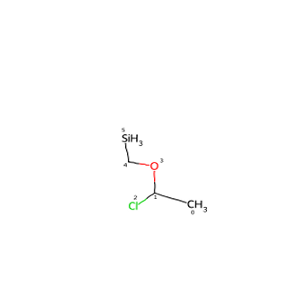 CC(Cl)OC[SiH3]